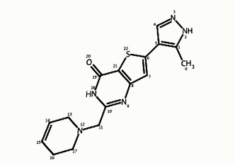 Cc1[nH]ncc1-c1cc2nc(CN3CC=CCC3)[nH]c(=O)c2s1